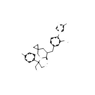 COc1cc(CC2CC3(CC3)CN3C2=NNCC3(CO)c2ccc(F)cc2)ccc1-n1cnc(C)c1